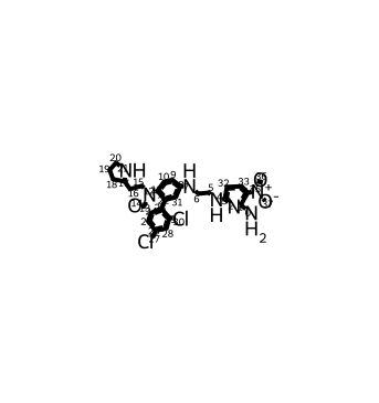 Nc1nc(NCCNc2ccc(N(C=O)CCC3CCCN3)c(-c3ccc(Cl)cc3Cl)c2)ccc1[N+](=O)[O-]